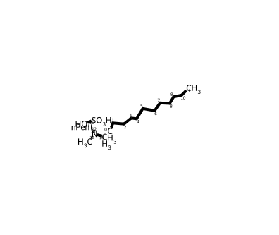 CCCCCCCCCCCC.CCCCCN(C)C.O=S(=O)(O)O